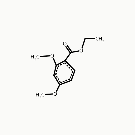 CCOC(=O)c1ccc(OC)cc1OC